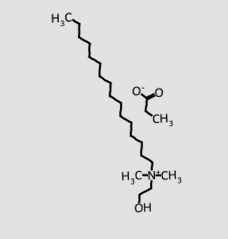 CCC(=O)[O-].CCCCCCCCCCCCCCCC[N+](C)(C)CCO